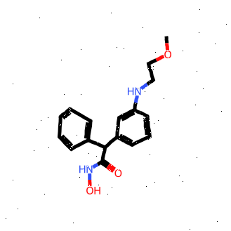 COCCNc1cccc(C(C(=O)NO)c2ccccc2)c1